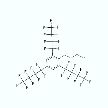 [CH2]CCCc1c(C(F)(F)C(F)(F)C(F)(F)C(F)(F)F)cc(C(F)(F)C(F)(F)C(F)(F)C(F)(F)F)cc1C(F)(F)C(F)(F)C(F)(F)C(F)(F)F